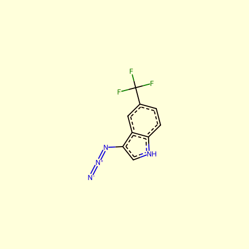 [N-]=[N+]=Nc1c[nH]c2ccc(C(F)(F)F)cc12